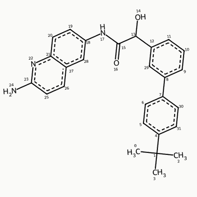 CC(C)(C)c1ccc(-c2cccc(C(O)C(=O)Nc3ccc4nc(N)ccc4c3)c2)cc1